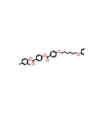 C=CC(=C)OCCCCCCOc1ccc(C(=O)Oc2ccc(C(=O)Oc3ccc(C)cc3C)cc2)cc1